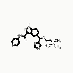 C[Si](C)(C)CCOC(c1ccc2[nH]nc(C(=O)Nc3ccncc3)c2c1)c1cncs1